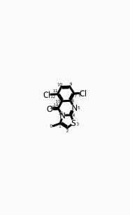 Cc1csc2nc3c(Cl)ccc(Cl)c3c(=O)n12